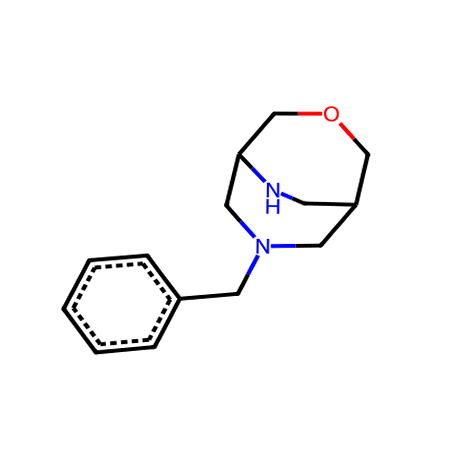 c1ccc(CN2CC3CNC(COC3)C2)cc1